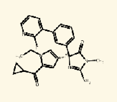 CCn1cc([C@@]2(c3cccc(-c4cccnc4F)c3)N=C(N)N(C)C2=O)cc1C(=O)C1CC1